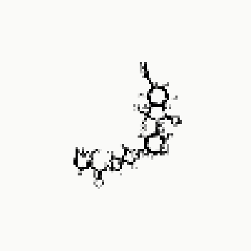 Cn1nccc1C(=O)N1CC2(C1)CN(c1cncc(N3C(=O)c4ccc(C#N)cc4C3(C)C)c1)C2